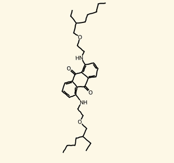 CCCCCC(CC)COCCNc1cccc2c1C(=O)c1cccc(NCCOCC(CC)CCCC)c1C2=O